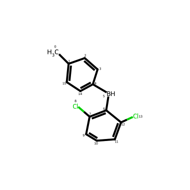 Cc1ccc(Bc2c(Cl)cccc2Cl)cc1